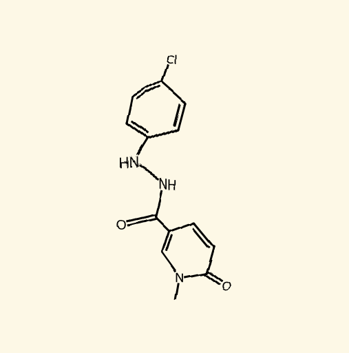 Cn1cc(C(=O)NNc2ccc(Cl)cc2)ccc1=O